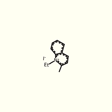 CC[n+]1c(C)ccc2ccccc21.[I-]